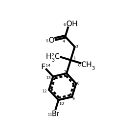 CC(C)(CC(=O)O)c1ccc(Br)cc1F